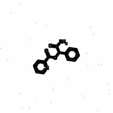 NC(=O)C(OC(=O)c1ccccn1)c1ccccc1